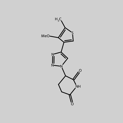 COc1c(-c2cn(C3CCC(=O)NC3=O)nn2)csc1C